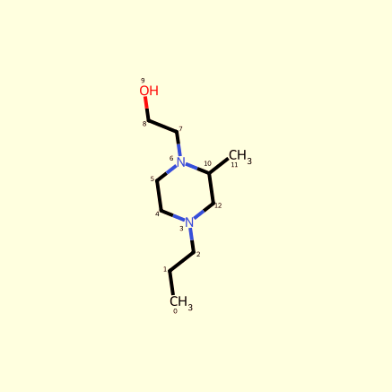 CCCN1CCN(CCO)C(C)C1